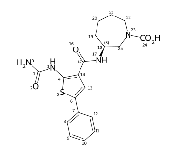 NC(=O)Nc1sc(-c2ccccc2)cc1C(=O)N[C@H]1CCCCN(C(=O)O)C1